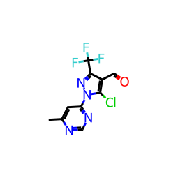 Cc1cc(-n2nc(C(F)(F)F)c(C=O)c2Cl)ncn1